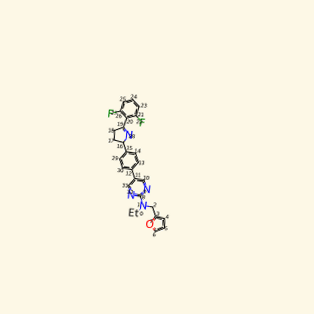 CCN(Cc1ccco1)c1ncc(-c2ccc(C3CCC(c4c(F)cccc4F)=N3)cc2)cn1